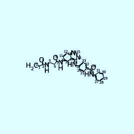 C=CC(=O)NCCC(=O)Nc1ccc2ncnc(Nc3ccc(C(=O)Nc4ccccc4)cc3)c2c1